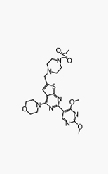 COc1ncc(-c2nc(N3CCOCC3)c3cc(CN4CCN(S(C)(=O)=O)CC4)sc3n2)c(OC)n1